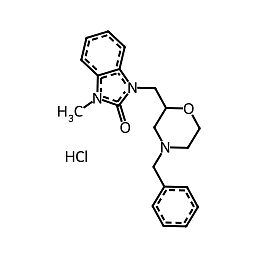 Cl.Cn1c(=O)n(CC2CN(Cc3ccccc3)CCO2)c2ccccc21